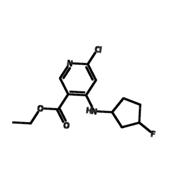 CCOC(=O)c1cnc(Cl)cc1NC1CCC(F)C1